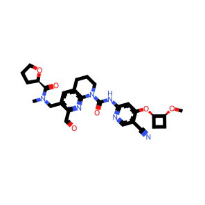 CO[C@H]1CC[C@H]1Oc1cc(NC(=O)N2CCCc3cc(CN(C)C(=O)[C@H]4CCCO4)c(C=O)nc32)ncc1C#N